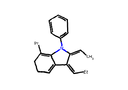 C/C=c1\c(=C/CC)c2c(n1-c1ccccc1)=C(C(C)C)CCC=2